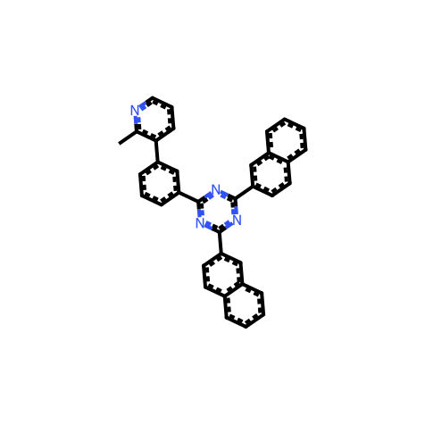 Cc1ncccc1-c1cccc(-c2nc(-c3ccc4ccccc4c3)nc(-c3ccc4ccccc4c3)n2)c1